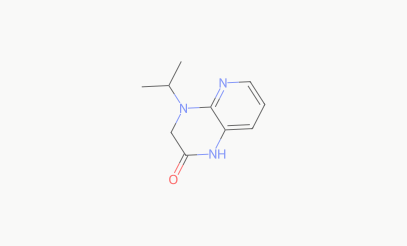 CC(C)N1CC(=O)Nc2cccnc21